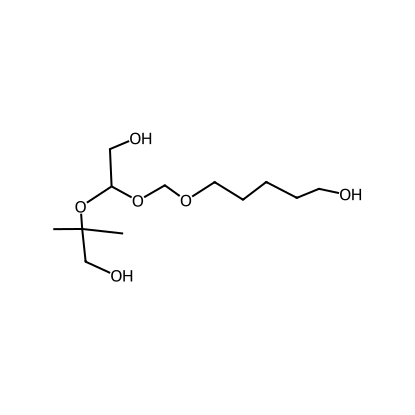 CC(C)(CO)OC(CO)OCOCCCCCO